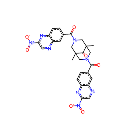 CC12CN(C(=O)c3ccc4nc([N+](=O)[O-])cnc4c3)CC(C)(CN(C(=O)c3ccc4nc([N+](=O)[O-])cnc4c3)C1)C2=O